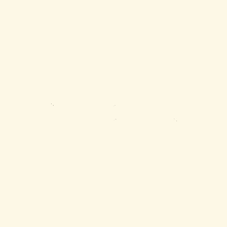 [C-]#[N+]c1ccc([Se][Se]c2ccc([N+]#[C-])cc2)cc1